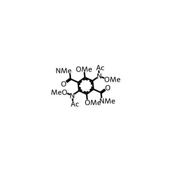 CNC(=O)c1c(OC)c(N(OC)C(C)=O)c(C(=O)NC)c(OC)c1N(OC)C(C)=O